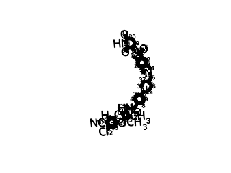 CC1(C)[C@H](NC(=O)c2ccc(N3CCC(CN4Cc5cc6c(cc5C4)C(=O)N([C@@H]4CCC(=O)NC4=O)C6)CC3)cc2)C(C)(C)[C@H]1Oc1ccc(C#N)c(Cl)c1